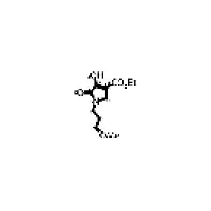 CCOC(=O)C1=C(O)C(=O)N(CCCOC)C1